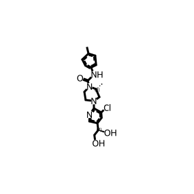 Cc1ccc(NC(=O)N2CCN(c3ncc([C@@H](O)CO)cc3Cl)C[C@H]2C)cc1